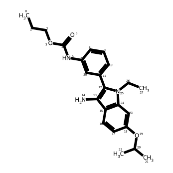 CCCOC(=O)Nc1cccc(-c2c(N)c3ccc(OC(C)C)cc3n2CC)c1